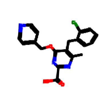 Cc1nc(C(=O)O)nc(OCc2ccncc2)c1Cc1ccccc1Cl